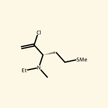 C=C(Cl)[C@H](CCSC)N(C)CC